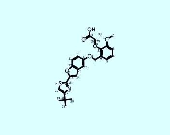 COc1cccc(COc2ccc3oc(-c4nc(C(C)(C)C)cs4)cc3c2)c1O[C@@H](C)C(=O)O